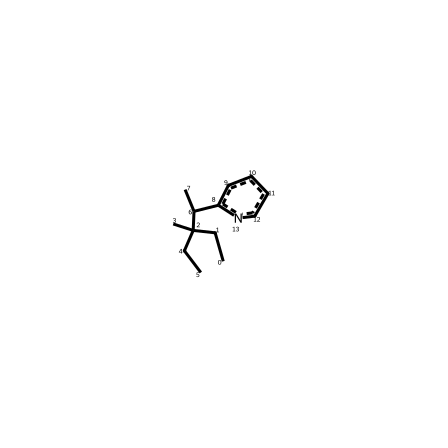 CCC(C)(CC)C(C)c1ccccn1